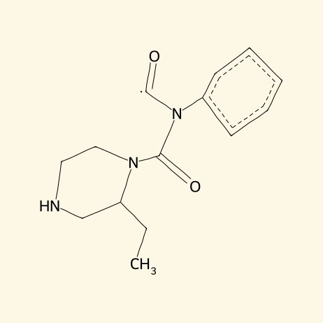 CCC1CNCCN1C(=O)N([C]=O)c1ccccc1